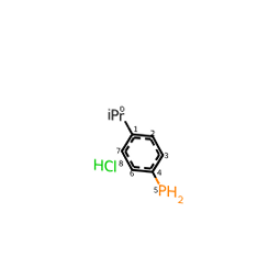 CC(C)c1ccc(P)cc1.Cl